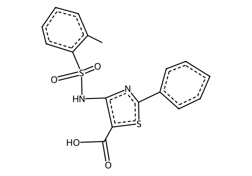 Cc1ccccc1S(=O)(=O)Nc1nc(-c2ccccc2)sc1C(=O)O